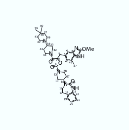 COc1nc2cc(C[C@@H](OC(=O)N3CCC(N4CCc5ccccc5NC4=O)CC3)C(=O)N3CCC(N4CCC(C)(C)CC4)CC3)cc(C)c2[nH]1